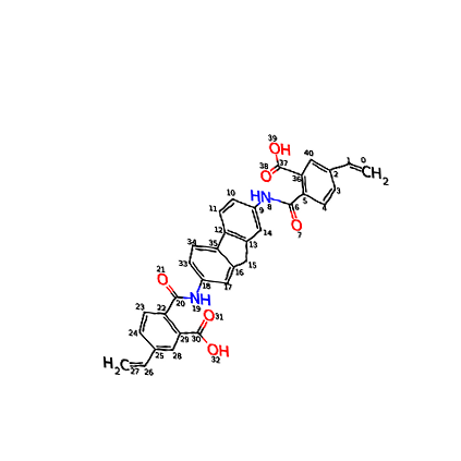 C=Cc1ccc(C(=O)Nc2ccc3c(c2)Cc2cc(NC(=O)c4ccc(C=C)cc4C(=O)O)ccc2-3)c(C(=O)O)c1